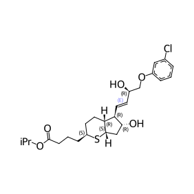 CC(C)OC(=O)CCC[C@H]1CC[C@@H]2[C@@H](/C=C/[C@@H](O)COc3cccc(Cl)c3)[C@H](O)C[C@@H]2S1